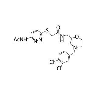 CC(=O)Nc1ccc(SCC(=O)NCC2CN(Cc3ccc(Cl)c(Cl)c3)CCO2)nn1